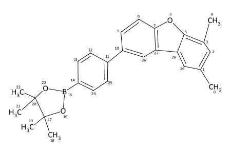 Cc1cc(C)c2oc3ccc(-c4ccc(B5OC(C)(C)C(C)(C)O5)cc4)cc3c2c1